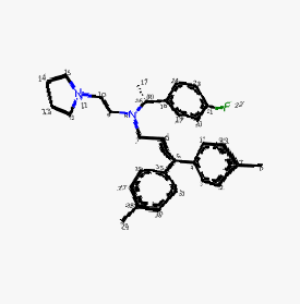 Cc1ccc(C(=CCN(CCN2CCCC2)[C@H](C)c2ccc(F)cc2)c2ccc(C)cc2)cc1